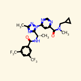 Cc1nc([C@H](C)NC(=O)c2cc(C(F)(F)F)cc(C(F)(F)F)c2)n(-c2cc(C(=O)N(C)CC3CC3)ncn2)n1